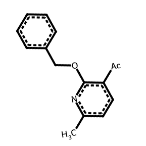 CC(=O)c1ccc(C)nc1OCc1ccccc1